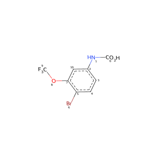 O=C(O)Nc1ccc(Br)c(OC(F)(F)F)c1